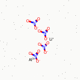 O=[N+]([O-])[O-].O=[N+]([O-])[O-].O=[N+]([O-])[O-].O=[N+]([O-])[O-].[Al+3].[Li+]